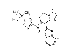 CC(C)(C)c1nnc(C(=O)N2CCc3[nH]cnc3[C@H]2c2cc3cccc(I)n3n2)o1